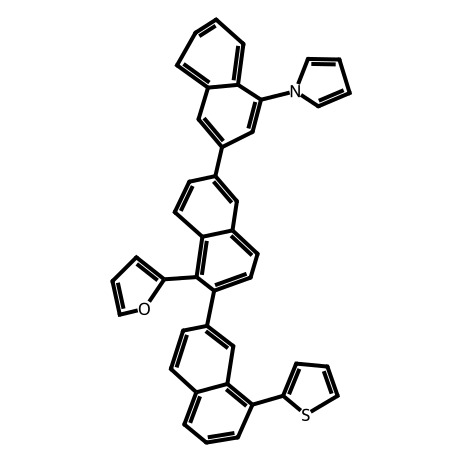 c1coc(-c2c(-c3ccc4cccc(-c5cccs5)c4c3)ccc3cc(-c4cc(-n5cccc5)c5ccccc5c4)ccc23)c1